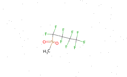 CS(=O)(=O)C(F)(F)C(F)(F)C(F)(F)C(F)(F)F